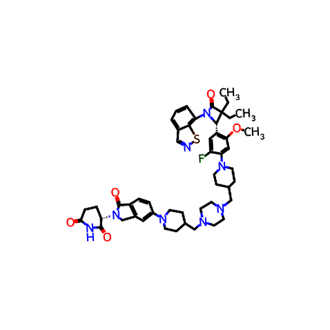 CCC1(CC)C(=O)N(c2cccc3cnsc23)[C@H]1c1cc(F)c(N2CCC(CN3CCN(CC4CCN(c5ccc6c(c5)CN([C@H]5CCC(=O)NC5=O)C6=O)CC4)CC3)CC2)cc1OC